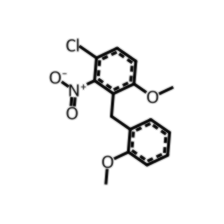 COc1ccccc1Cc1c(OC)ccc(Cl)c1[N+](=O)[O-]